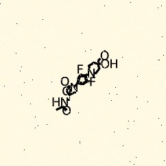 COCC1(O)CCN(c2c(F)cc(N3C[C@H](CNC(C)=O)OC3=O)cc2F)CC1